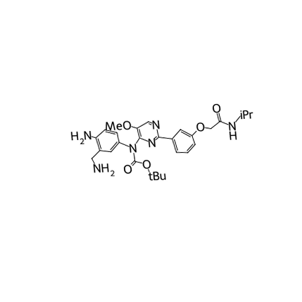 COc1cnc(-c2cccc(OCC(=O)NC(C)C)c2)nc1N(C(=O)OC(C)(C)C)c1ccc(N)c(CN)c1